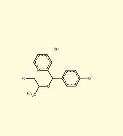 CC(C)CC(OC(c1ccc(Br)cc1)c1ccccn1)C(=O)O.[KH]